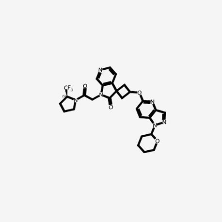 O=C(CN1C(=O)C2(CC(Oc3ccc4c(cnn4C4CCCCO4)n3)C2)c2ccncc21)N1CCC[C@H]1C(F)(F)F